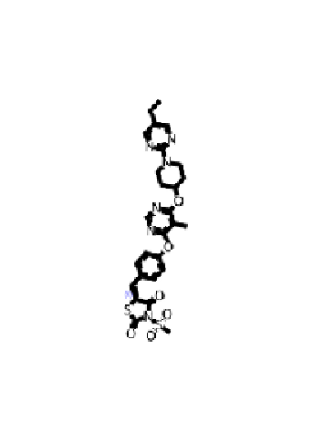 CCc1cnc(N2CCC(Oc3ncnc(Oc4ccc(/C=C5/SC(=O)N(S(C)(=O)=O)C5=O)cc4)c3C)CC2)nc1